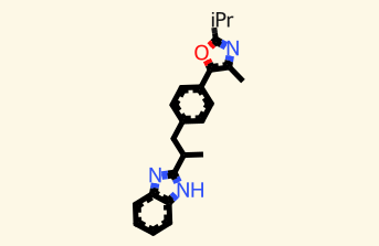 Cc1nc(C(C)C)oc1-c1ccc(CC(C)c2nc3ccccc3[nH]2)cc1